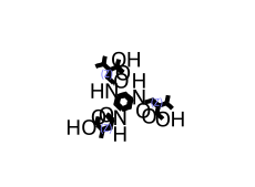 C/C(=C/C(=O)Nc1cc(NC(=O)/C=C(\C(=O)O)C(C)C)cc(NC(=O)/C=C(\C(=O)O)C(C)C)c1)C(=O)O